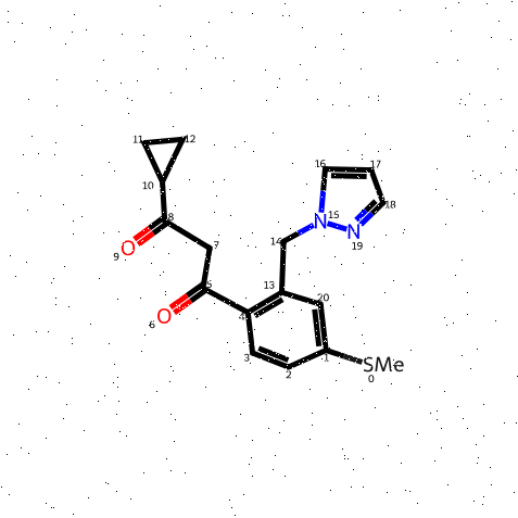 CSc1ccc(C(=O)CC(=O)C2CC2)c(Cn2cccn2)c1